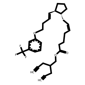 C#CCC(CC#C)COC(=O)CCC/C=C\C[C@H]1CCC[C@@H]1/C=C/CCOc1cccc(C(F)(F)F)c1